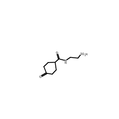 O=C1CCC(C(=O)NCCS(=O)(=O)O)CC1